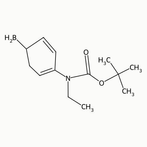 BC1C=CC(N(CC)C(=O)OC(C)(C)C)=CC1